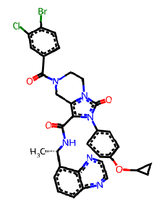 C[C@H](NC(=O)c1c2n(c(=O)n1-c1ccc(OC3CC3)cc1)CCN(C(=O)c1ccc(Br)c(Cl)c1)C2)c1cccc2nccnc12